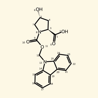 O=C(O)[C@@H]1C[C@@H](O)CN1C(=O)OCn1c2ccccc2c2ccccc21